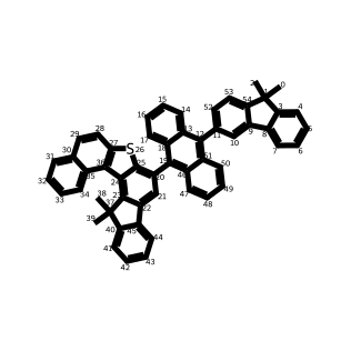 CC1(C)c2ccccc2-c2cc(-c3c4ccccc4c(-c4cc5c(c6c4sc4ccc7ccccc7c46)C(C)(C)c4ccccc4-5)c4ccccc34)ccc21